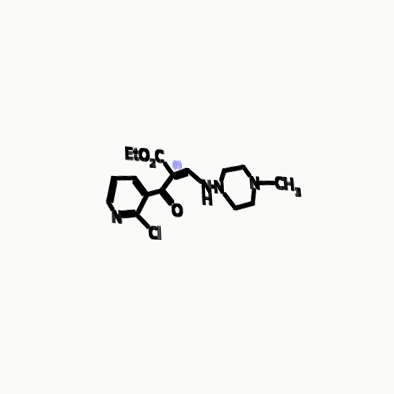 CCOC(=O)/C(=C/NN1CCN(C)CC1)C(=O)c1cccnc1Cl